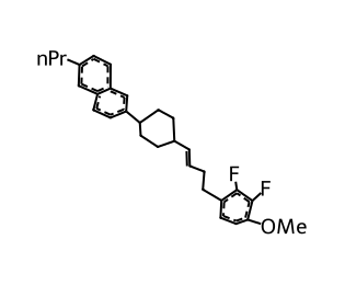 CCCc1ccc2cc(C3CCC(/C=C/CCc4ccc(OC)c(F)c4F)CC3)ccc2c1